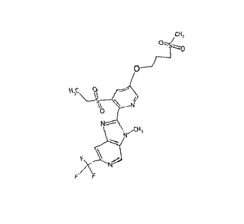 CCS(=O)(=O)c1cc(OCCCS(C)(=O)=O)cnc1-c1nc2cc(C(F)(F)F)ncc2n1C